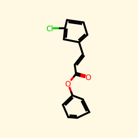 O=C(C=Cc1cccc(Cl)c1)Oc1ccccc1